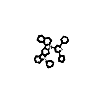 C1=CC(c2cc(N3c4ccc5ccccc5c4C4C=c5c(n(-c6ccccc6)c6ccccc56)=CC43)cc(-c3ccccc3)n2)=CCC1